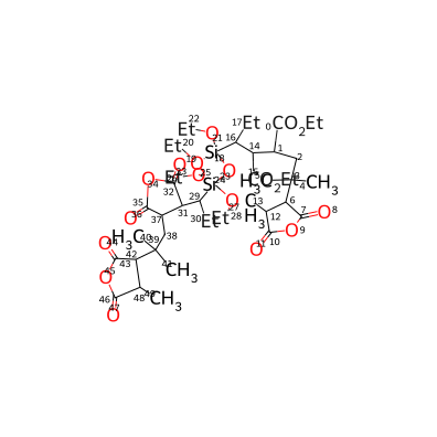 CCOC(=O)C(CC(C)(C)C1C(=O)OC(=O)C1C)C(C(=O)OCC)C(CC)[Si](OCC)(OCC)O[Si](OCC)(OCC)C(CC)C1C(=O)OC(=O)C1CC(C)(C)C1C(=O)OC(=O)C1C